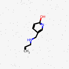 C=CCNCc1ccc(O)nc1